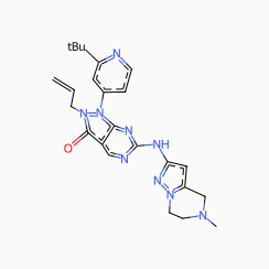 C=CCn1c(=O)c2cnc(Nc3cc4n(n3)CCN(C)C4)nc2n1-c1ccnc(C(C)(C)C)c1